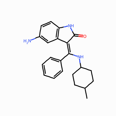 CC1CCC(N/C(=C2\C(=O)Nc3ccc(N)cc32)c2ccccc2)CC1